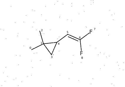 CC1(C)[CH]C1C=C(F)F